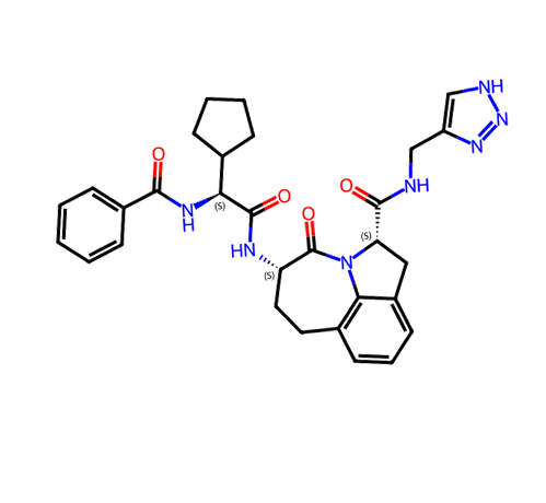 O=C(N[C@H](C(=O)N[C@H]1CCc2cccc3c2N(C1=O)[C@H](C(=O)NCc1c[nH]nn1)C3)C1CCCC1)c1ccccc1